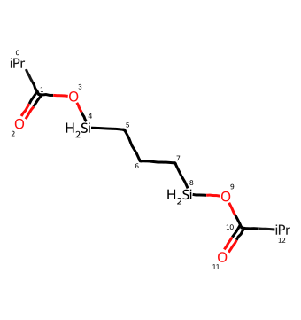 CC(C)C(=O)O[SiH2]CCC[SiH2]OC(=O)C(C)C